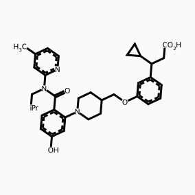 Cc1ccnc(N(CC(C)C)C(=O)c2ccc(O)cc2N2CCC(COc3cccc(C(CC(=O)O)C4CC4)c3)CC2)c1